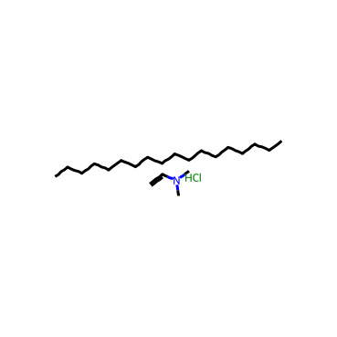 C=CN(C)C.CCCCCCCCCCCCCCCCCC.Cl